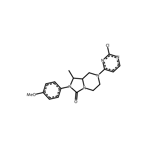 COc1ccc(N2C(=O)N3CCN(c4ccnc(Cl)n4)CC3C2C)cc1